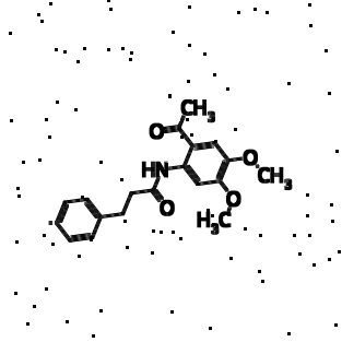 COc1cc(NC(=O)CCc2cc[c]cc2)c(C(C)=O)cc1OC